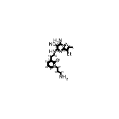 CCc1c(C)nn2c(N)c(C#N)c(NCCc3cccn(CCCN)c3=O)nc12